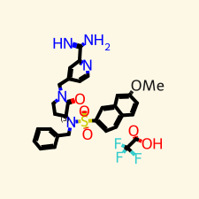 COc1ccc2ccc(S(=O)(=O)N(Cc3ccccc3)[C@H]3CCN(Cc4ccnc(C(=N)N)c4)C3=O)cc2c1.O=C(O)C(F)(F)F